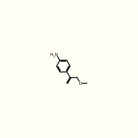 C=C(COC)c1ccc(N)cc1